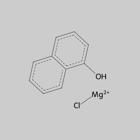 Oc1cccc2ccccc12.[Mg+2][Cl]